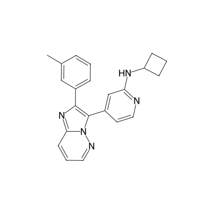 Cc1cccc(-c2nc3cccnn3c2-c2ccnc(NC3CCC3)c2)c1